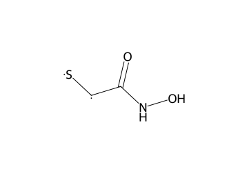 O=C([CH][S])NO